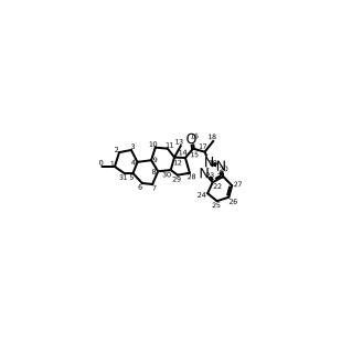 CC1CCC2C(CCC3C2CCC2(C)C(C(=O)C(C)n4nc5c(n4)CCC=C5)CCC32)C1